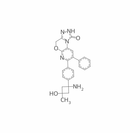 CC1(O)CC(N)(c2ccc(-c3nc4c(cc3-c3ccccc3)-n3c(n[nH]c3=O)CO4)cc2)C1